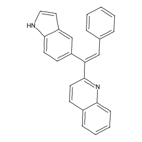 C(=C(c1ccc2[nH]ccc2c1)c1ccc2ccccc2n1)c1ccccc1